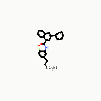 CCOC(=O)CCc1ccc(F)c(NC(=O)c2cc(-c3ccccc3)cc3ccccc23)c1